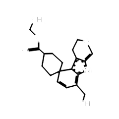 CCOC(=O)C1CCC2(C=CC(CC)=c3[nH]c4c(c32)CCOC=4)CC1